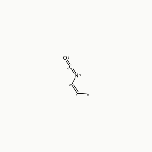 C/C=C\N=C=O